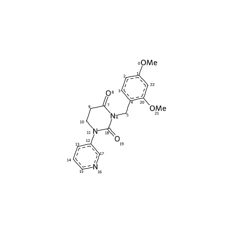 COc1ccc(CN2C(=O)CCN(c3cccnc3)C2=O)c(OC)c1